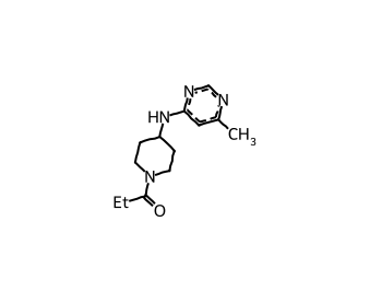 CCC(=O)N1CCC(Nc2cc(C)ncn2)CC1